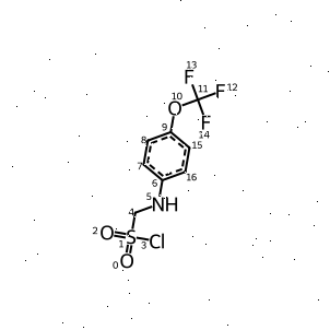 O=S(=O)(Cl)CNc1ccc(OC(F)(F)F)cc1